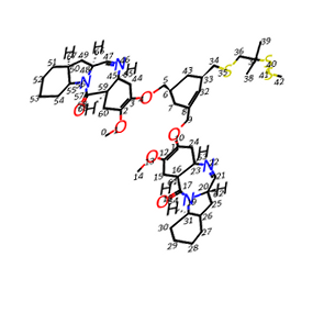 COC1=C(OC[C@@H]2CC(COC3=C(OC)C[C@@H]4C(=O)N5[C@H](C=N[C@@H]4C3)CC3CCCC[C@H]35)=C[C@H](CSCC(C)(C)SSC)C2)C[C@@H]2N=C[C@@H]3C[C@@H]4CCCCC4N3C(=O)[C@@H]2C1